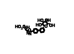 O=C(O)NCc1nnc(-c2ccc(-c3cccc([C@H]4O[C@H](CO)[C@@H](O)[C@H](O)[C@H]4O)c3)cc2)o1